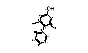 Cc1cc(O)cc(C)c1-c1ccccc1